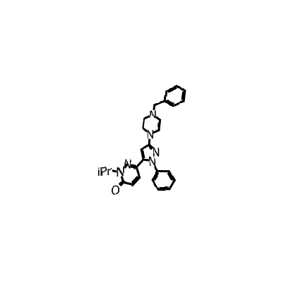 CC(C)n1nc(-c2cc(N3CCN(Cc4ccccc4)CC3)nn2-c2ccccc2)ccc1=O